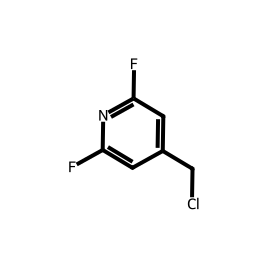 Fc1cc(CCl)cc(F)n1